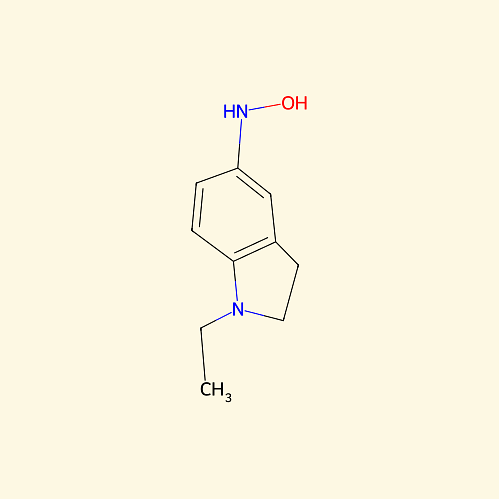 CCN1CCc2cc(NO)ccc21